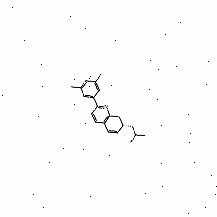 Cc1cc(C)cc(-c2ccc3c(n2)C[C@H](CC(C)C)C=C3)c1